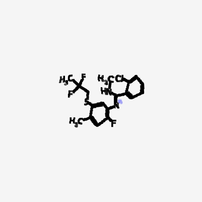 CN/C(=N\c1cc(SCC(C)(F)F)c(C)cc1F)c1ccccc1Cl